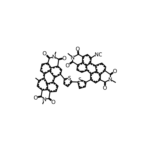 [C-]#[N+]c1cc2c3c(ccc4c5c(-c6ccc(-c7ccc(-c8cc9c%10c(ccc%11c%12c(C)cc%13c%14c(ccc(c8c%10%11)c%14%12)C(=O)N(C)C%13=O)C(=O)N(C)C9=O)s7)s6)cc6c7c(ccc(c1c34)c75)C(=O)N(C)C6=O)C(=O)N(C)C2=O